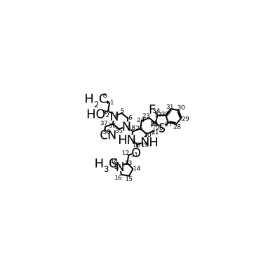 C=CC(O)N1CCN(C2NC(OCC3CCCN3C)NC3C[C@@]4(CCC32)Sc2ccccc2C4F)CC1CC#N